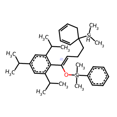 CC(C)c1cc(C(C)C)c(/C(=C/CCC2([SiH](C)C)C=CC=CC2)O[Si](C)(C)c2ccccc2)c(C(C)C)c1